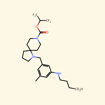 Cc1cc(CN2CCCC23CCN(C(=O)OC(C(F)(F)F)C(F)(F)F)CC3)cc(NCCCC(=O)O)c1